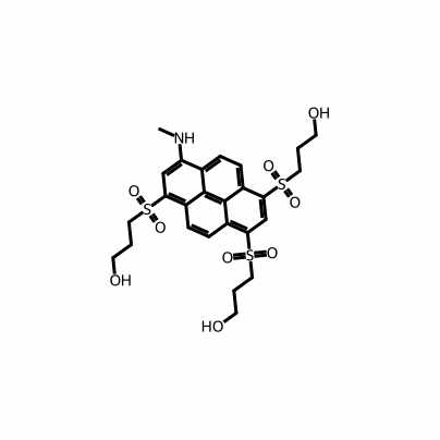 CNc1cc(S(=O)(=O)CCCO)c2ccc3c(S(=O)(=O)CCCO)cc(S(=O)(=O)CCCO)c4ccc1c2c43